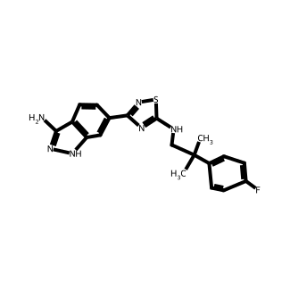 CC(C)(CNc1nc(-c2ccc3c(N)n[nH]c3c2)ns1)c1ccc(F)cc1